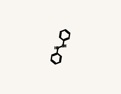 B(Bc1ccccc1)c1ccccc1